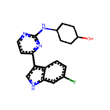 OC1CCC(Nc2nccc(-c3c[nH]c4cc(F)ccc34)n2)CC1